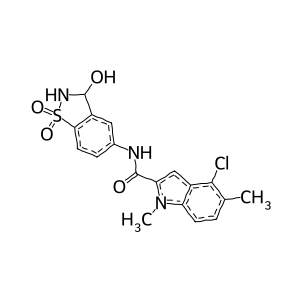 Cc1ccc2c(cc(C(=O)Nc3ccc4c(c3)C(O)NS4(=O)=O)n2C)c1Cl